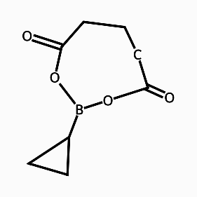 O=C1CCCC(=O)OB(C2CC2)O1